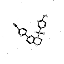 N#Cc1ccc(-c2ccc3c(c2)N(S(=O)(=O)c2ccc(N)nc2)CCO3)nc1